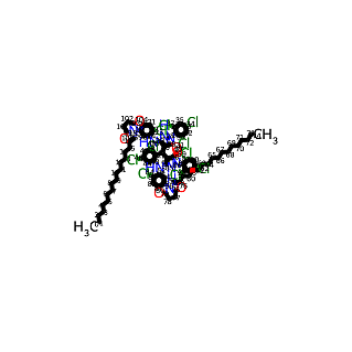 CCCCCCCCCCCCCCCCC=C[N+]1(c2ccc(Cl)c(Nc3[nH]n(-c4c(Cl)cc(Cl)cc4Cl)c(=O)c3C(c3ccc(Cl)cc3Cl)c3c(Nc4cc([N+]5(C=CCCCCCCCCCCCCCCCC)C(=O)CCC5=O)ccc4Cl)[nH]n(-c4c(Cl)cc(Cl)cc4Cl)c3=O)c2)C(=O)CCC1=O